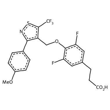 COc1ccc(-c2nsc(C(F)(F)F)c2COc2c(F)cc(CCC(=O)O)cc2F)cc1